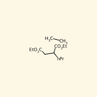 CC.CCCC(CC(=O)OCC)C(=O)OCC